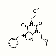 COCCn1c(=O)c2c(ncn2Cc2ccccc2)n(CCOC)c1=O